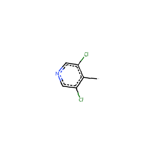 [CH2]c1c(Cl)cncc1Cl